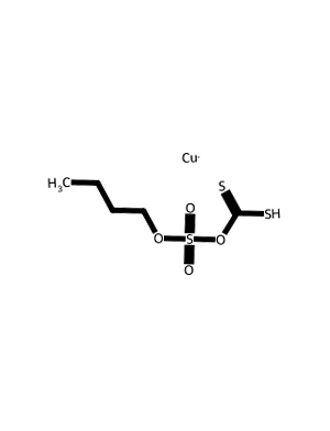 CCCCOS(=O)(=O)OC(=S)S.[Cu]